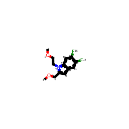 COCCn1c(COC)cc2cc(F)c(F)cc21